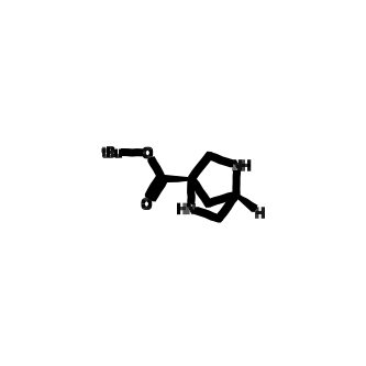 CC(C)(C)OC(=O)[C@]12CN[C@H](CN1)C2